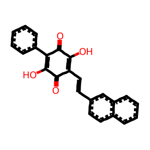 O=C1C(O)=C(c2ccccc2)C(=O)C(O)=C1C=Cc1ccc2ccccc2c1